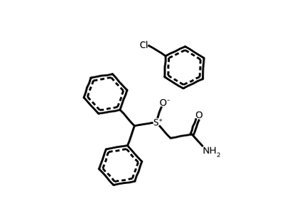 Clc1ccccc1.NC(=O)C[S+]([O-])C(c1ccccc1)c1ccccc1